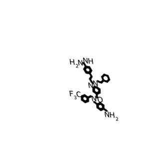 N=C(N)c1ccc(CCc2nc3cc(C(=O)N(Cc4ccc(CN)cc4)Cc4cccc(C(F)(F)F)c4)ccc3n2CCC2CCCCC2)cc1